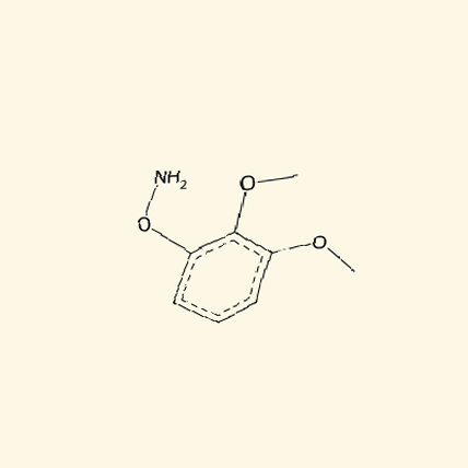 COc1cccc(ON)c1OC